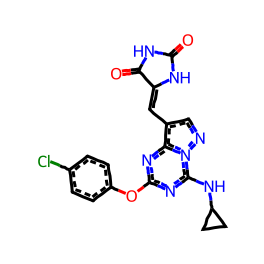 O=C1NC(=O)/C(=C/c2cnn3c(NC4CC4)nc(Oc4ccc(Cl)cc4)nc23)N1